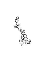 CC(C)C[C@H](NC(=O)CBr)C(=O)N[C@@H](Cc1ccc(OC(=O)N2CCC(NC(=O)Cc3ccc(Cl)cc3)CC2)cc1)C(=O)O